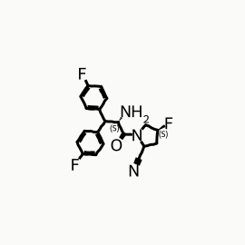 N#CC1C[C@H](F)CN1C(=O)[C@@H](N)C(c1ccc(F)cc1)c1ccc(F)cc1